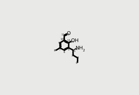 CCC[C@H](N)c1cc(C)cc(C=O)c1O